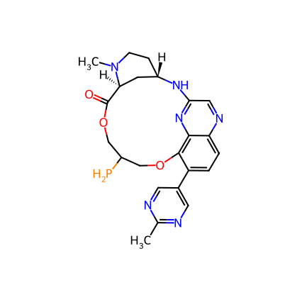 Cc1ncc(-c2ccc3ncc4nc3c2OCC(P)COC(=O)[C@@H]2C[C@H](CCN2C)N4)cn1